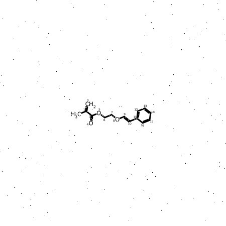 C=C(C)C(=O)OCCOC=Cc1ccccc1